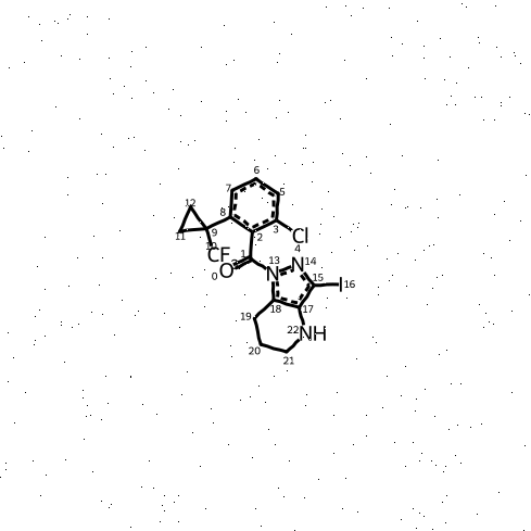 O=C(c1c(Cl)cccc1C1(C(F)(F)F)CC1)n1nc(I)c2c1CCCN2